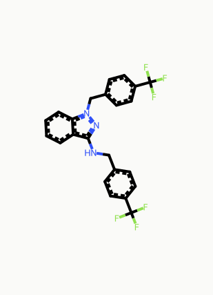 FC(F)(F)c1ccc(CNc2nn(Cc3ccc(C(F)(F)F)cc3)c3ccccc23)cc1